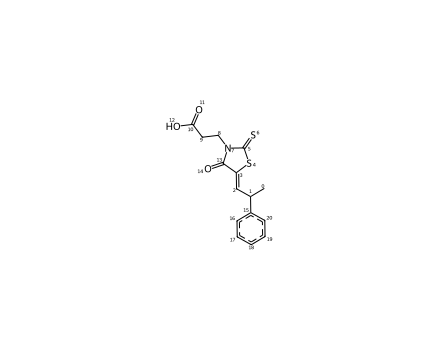 CC(/C=C1\SC(=S)N(CCC(=O)O)C1=O)c1ccccc1